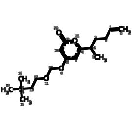 C=CCCC(C)c1cc(OCOCC[Si](C)(C)C)cc(=O)o1